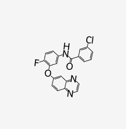 O=C(Nc1ccc(F)c(Oc2ccc3nccnc3c2)c1)c1cccc(Cl)c1